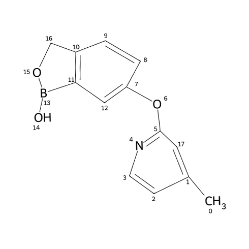 Cc1ccnc(Oc2ccc3c(c2)B(O)OC3)c1